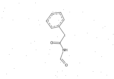 O=CNC(=O)Cc1ccccc1